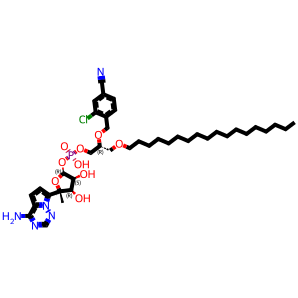 CCCCCCCCCCCCCCCCCCOC[C@H](COP(=O)(O)O[C@H]1O[C@@](C)(c2ccc3c(N)ncnn23)[C@H](O)[C@@H]1O)OCc1ccc(C#N)cc1Cl